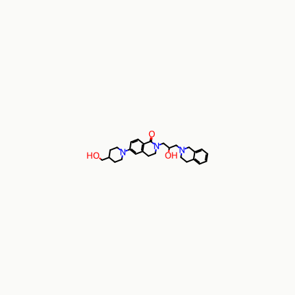 O=C1c2ccc(N3CCC(CO)CC3)cc2CCN1CC(O)CN1CCc2ccccc2C1